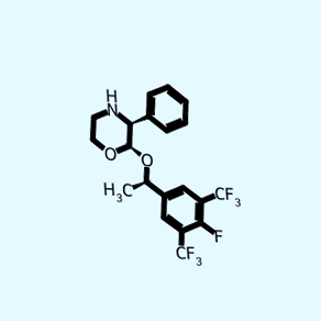 C[C@@H](O[C@H]1OCCN[C@H]1c1ccccc1)c1cc(C(F)(F)F)c(F)c(C(F)(F)F)c1